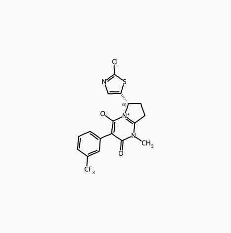 Cn1c2[n+](c([O-])c(-c3cccc(C(F)(F)F)c3)c1=O)[C@H](c1cnc(Cl)s1)CC2